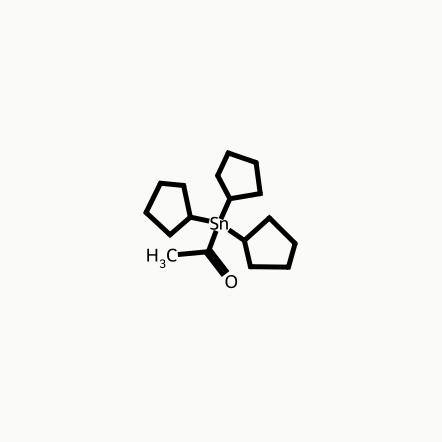 C[C](=O)[Sn]([CH]1CCCC1)([CH]1CCCC1)[CH]1CCCC1